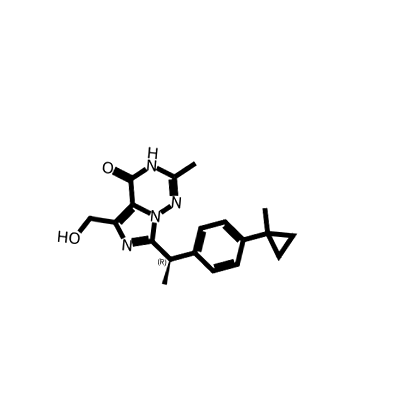 Cc1nn2c([C@H](C)c3ccc(C4(C)CC4)cc3)nc(CO)c2c(=O)[nH]1